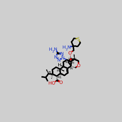 CC(C)[C@@H](C)[C@@]1(C)CC[C@]2(C)[C@H]3CC[C@@H]4[C@@]5(COC[C@@]4(C)[C@@H](OCC4(N)CCSCC4)[C@H](n4nnc(N)n4)C5)C3=CC[C@@]2(C)[C@@H]1C(=O)O